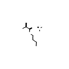 C=C(C)C(=O)OCCCC.O=[PH](O)O